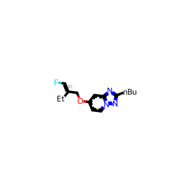 CCCCc1nc2cc(OC/C(=C/F)CC)ccn2n1